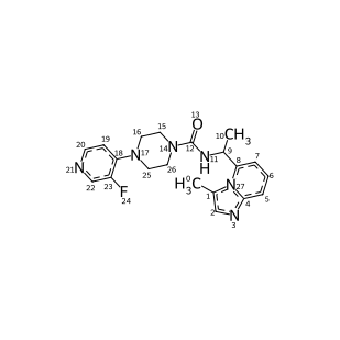 Cc1cnc2cccc(C(C)NC(=O)N3CCN(c4ccncc4F)CC3)n12